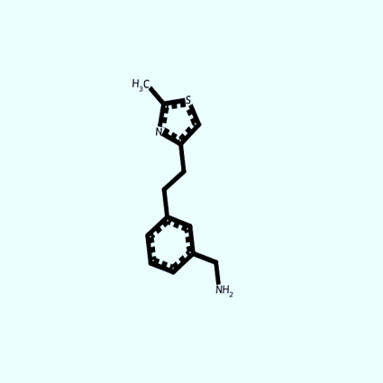 Cc1nc(CCc2cccc(CN)c2)cs1